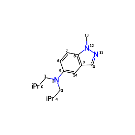 CC(C)CN(CC(C)C)c1ccc2c(cnn2C)c1